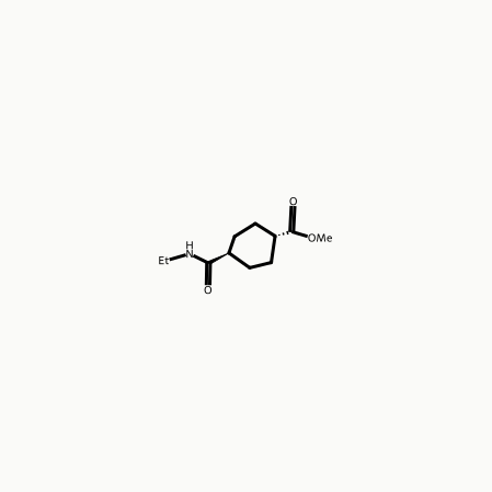 CCNC(=O)[C@H]1CC[C@H](C(=O)OC)CC1